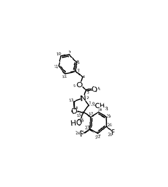 C[C@H]1N(C(=O)OCc2ccccc2)COC1(O)c1ccc(F)cc1F